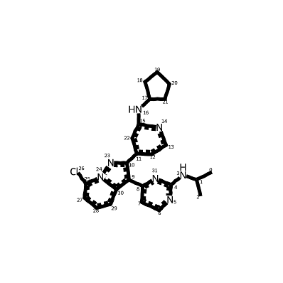 CC(C)Nc1nccc(-c2c(-c3ccnc(NC4CCCC4)c3)nn3c(Cl)cccc23)n1